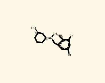 CN(Cc1cc(Br)cc(Br)c1N)[C@H]1CCC[C@@H](O)C1